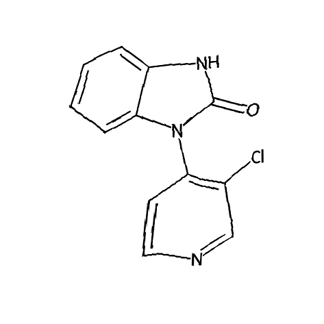 O=c1[nH]c2ccccc2n1-c1ccncc1Cl